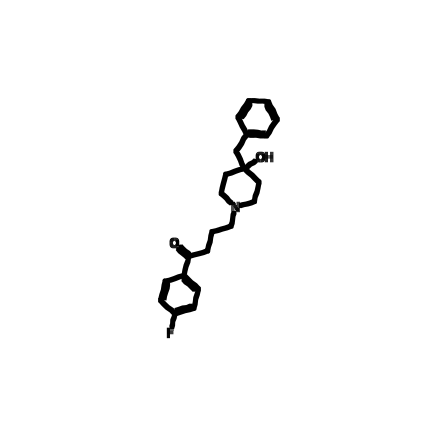 O=C(CCCN1CCC(O)(Cc2ccccc2)CC1)c1ccc(F)cc1